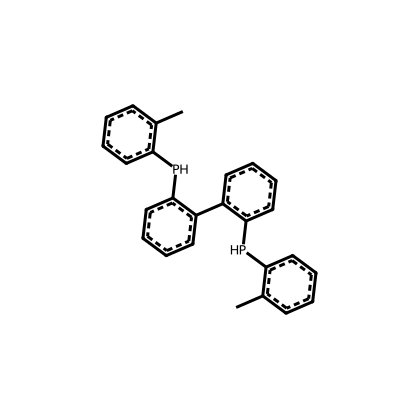 Cc1ccccc1Pc1ccccc1-c1ccccc1Pc1ccccc1C